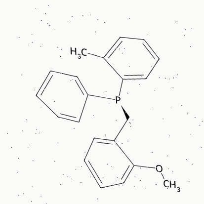 COc1ccccc1C[P@@](c1ccccc1)c1ccccc1C